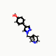 Oc1ccc(-c2cnn(CC3CN4CCC3CC4)c2)cc1